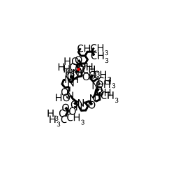 CCC1OC(O)(C(C)(O)C(=O)NC2C(=O)N3NCCCC3C(=O)N(O)CC(=O)N3C(CCCN3COC(=O)C(C)(C)C)C(=O)N3CCC(C)(O)C3C(=O)N(O)C(C(C)C)C(=O)OC2C(C)C)CCC1CC(C)C